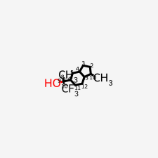 CC1CCC2CC(C(C)(O)C(F)(F)F)CCC12